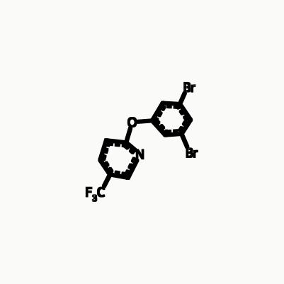 FC(F)(F)c1ccc(Oc2cc(Br)cc(Br)c2)nc1